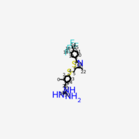 Cc1cc(SCc2sc(-c3ccc(C(F)(F)F)c(F)c3)nc2C)ccc1CNC(=N)N